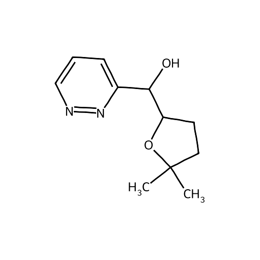 CC1(C)CCC(C(O)c2cccnn2)O1